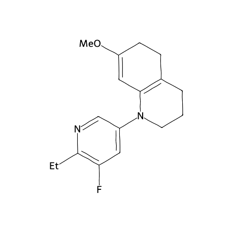 CCc1ncc(N2CCCC3=C2C=C(OC)CC3)cc1F